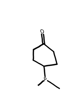 CP(C)C1CCC(=O)CC1